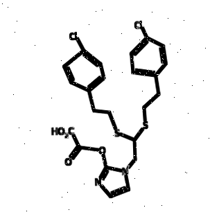 O=C(O)C(=O)Oc1nccn1CC(SCCc1ccc(Cl)cc1)SCCc1ccc(Cl)cc1